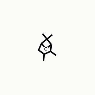 CC1CC2OC(C1C)C2(C)C